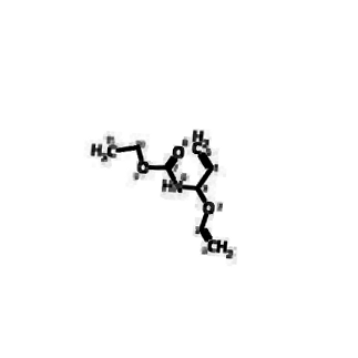 C=COC(C=C)NC(=O)OCC